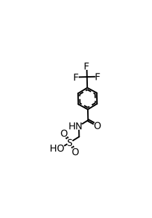 O=C(NCS(=O)(=O)O)c1ccc(C(F)(F)F)cc1